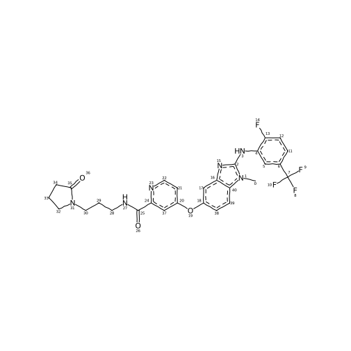 Cn1c(Nc2cc(C(F)(F)F)ccc2F)nc2cc(Oc3ccnc(C(=O)NCCCN4CCCC4=O)c3)ccc21